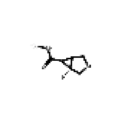 CC(C)(C)NC(=O)C1C2CNC[C@H]21